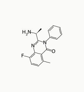 Cc1ccc(F)c2nc([C@H](C)N)n(-c3ccccc3)c(=O)c12